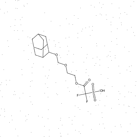 O=C(OCCOCOC1C2CC3CC(C2)CC1C3)C(F)(F)S(=O)(=O)O